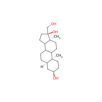 C[C@]12CCC3C(CC[C@@H]4C[C@H](O)CC[C@]34C)C1CC[C@]2(O)CO